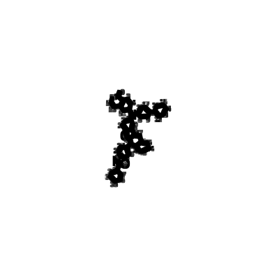 C=Cc1ccc(N(c2ccc(-c3ccccc3)cc2)c2ccc3oc4c(-c5ccc6nc(-c7ccccc7)oc6c5)c5ccccc5cc4c3c2)cc1/C=C\C